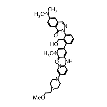 COCCN1CCN(c2ccc(Nc3cc(-c4cccc(-n5ncc6cc(N(C)C)ccc6c5=O)c4CO)cn(C)c3=O)nc2)CC1